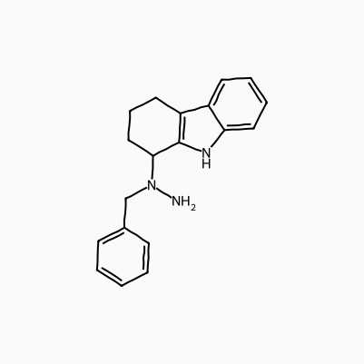 NN(Cc1ccccc1)C1CCCc2c1[nH]c1ccccc21